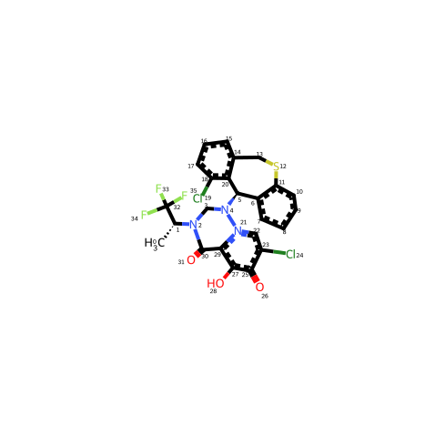 C[C@@H](N1CN([C@@H]2c3ccccc3SCc3cccc(Cl)c32)n2cc(Cl)c(=O)c(O)c2C1=O)C(F)(F)F